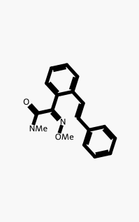 CNC(=O)C(=NOC)c1ccccc1/C=C/c1ccccc1